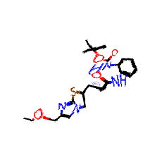 CCOCc1cn2c(n1)SC(/C=C/C(=O)Nc1ccccc1NC(=O)OC(C)(C)C)C2